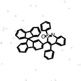 O=S1(c2ccccc2)=Nc2ccccc2C(c2ccccc2)=C1c1ccc2c(c1)C1(c3ccccc3-c3ccccc31)c1ccccc1-2